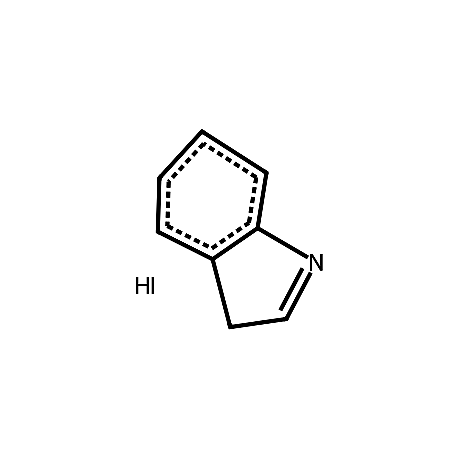 C1=Nc2ccccc2C1.I